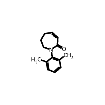 Cc1cccc(C)c1N1CCCC=CC1=O